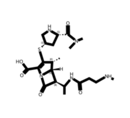 CNCCC(=O)NC(C)[C@H]1C(=O)N2C(C(=O)O)=C(S[C@@H]3CN[C@H](C(=O)N(C)C)C3)[C@H](C)[C@H]12